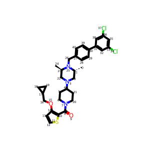 C[C@@H]1CN(C2CCN(C(=O)c3sccc3OCC3CC3)CC2)C[C@@H](C)N1Cc1ccc(-c2cc(Cl)cc(Cl)c2)cc1